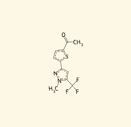 CC(=O)c1ccc(-c2cc(C(F)(F)F)n(C)n2)s1